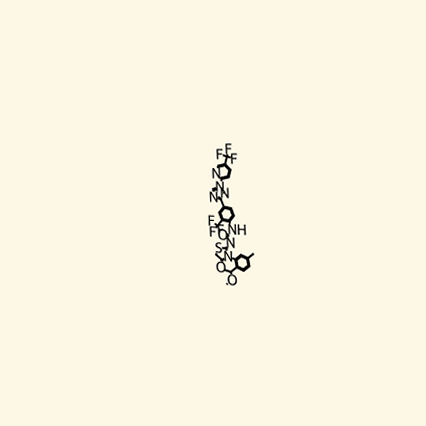 COC(C)c1ccc(C)cc1N1C(=O)CS/C1=N\C(=O)Nc1ccc(-c2ncn(-c3ccc(C(F)(F)F)cn3)n2)cc1C(F)(F)F